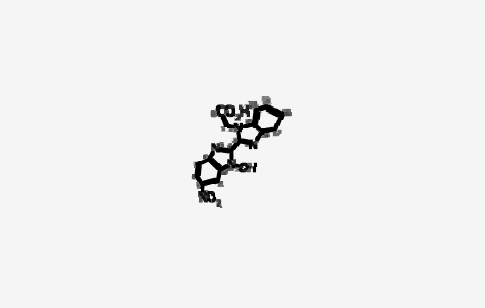 O=C(O)Cn1c(-c2nc3ccc([N+](=O)[O-])cc3n2O)nc2ccccc21